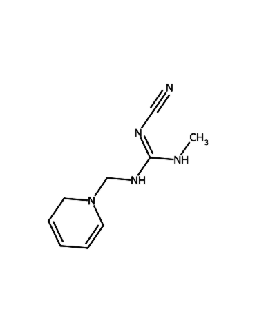 CNC(=NC#N)NCN1C=CC=CC1